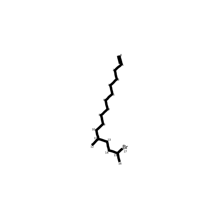 C=CCCCCCCCCCC(C)CCC(C)Br